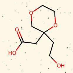 O=C(O)CC1(CCO)COCCO1